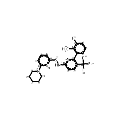 Cc1c(F)cccc1-c1nc(NSc2cccc(N3CCCCC3)n2)ccc1C(F)(F)F